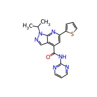 CC(C)n1ncc2c(C(=O)Nc3ncccn3)cc(-c3cccs3)nc21